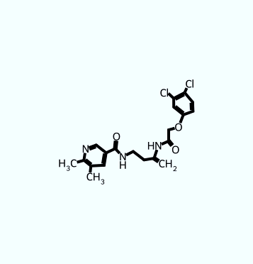 C=C(CCNC(=O)c1cnc(C)c(C)c1)NC(=O)COc1ccc(Cl)c(Cl)c1